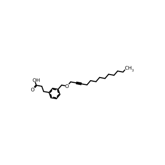 CCCCCCCCCCC#CCOCc1cccc(CCC(=O)O)c1